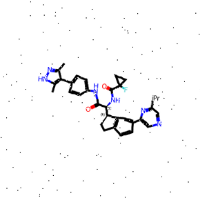 Cc1n[nH]c(C)c1-c1ccc(NC(=O)[C@@H](NC(=O)C2(F)CC2)[C@@H]2CCc3ccc(-c4cncc(C(C)C)n4)cc32)cc1